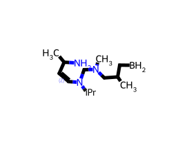 BCC(C)CN(C)CN(/C=C\C(C)N)C(C)C